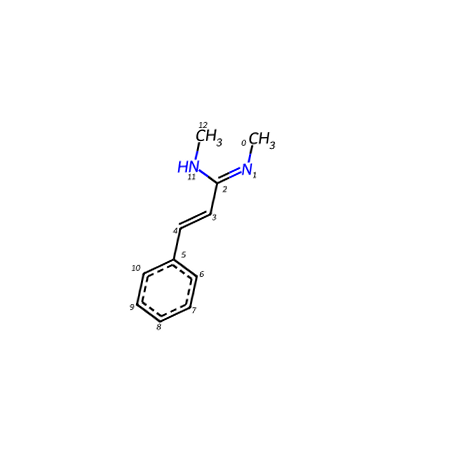 C/N=C(/C=C/c1ccccc1)NC